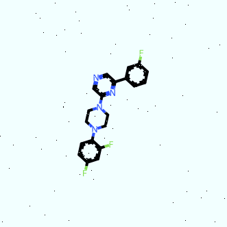 Fc1cccc(-c2cncc(N3CCN(c4ccc(F)cc4F)CC3)n2)c1